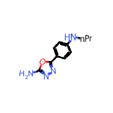 CCCNc1ccc(-c2nnc(N)o2)cc1